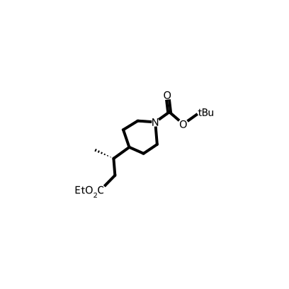 CCOC(=O)C[C@H](C)C1CCN(C(=O)OC(C)(C)C)CC1